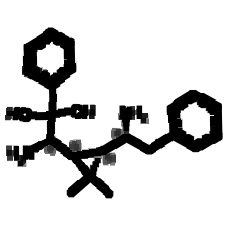 CC1(C)[C@@H]([C@H](N)Cc2ccccc2)[C@@H]1[C@@H](N)C(O)(O)c1ccccc1